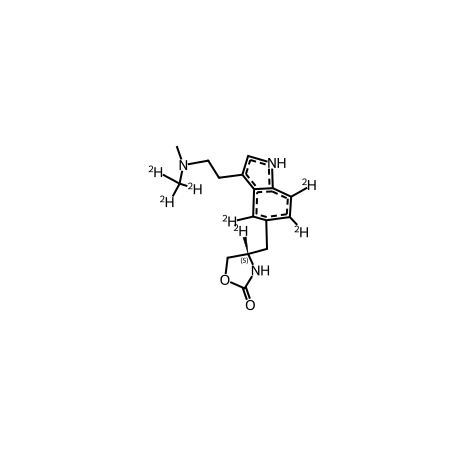 [2H]c1c(C[C@@]2([2H])COC(=O)N2)c([2H])c2c(CCN(C)C([2H])([2H])[2H])c[nH]c2c1[2H]